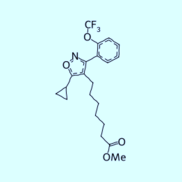 COC(=O)CCCCCCc1c(-c2ccccc2OC(F)(F)F)noc1C1CC1